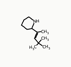 C/C(=C\C(C)(C)C)C1CCCCN1